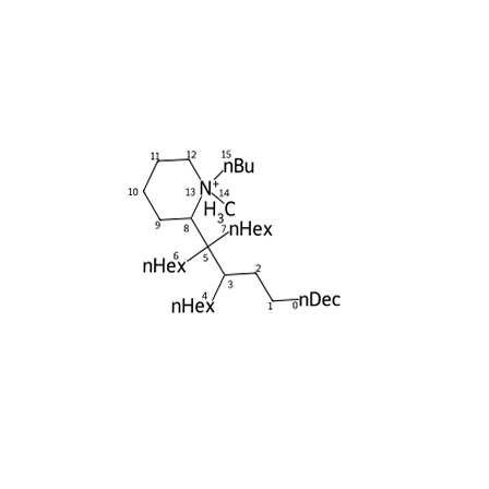 CCCCCCCCCCCCC(CCCCCC)C(CCCCCC)(CCCCCC)C1CCCC[N+]1(C)CCCC